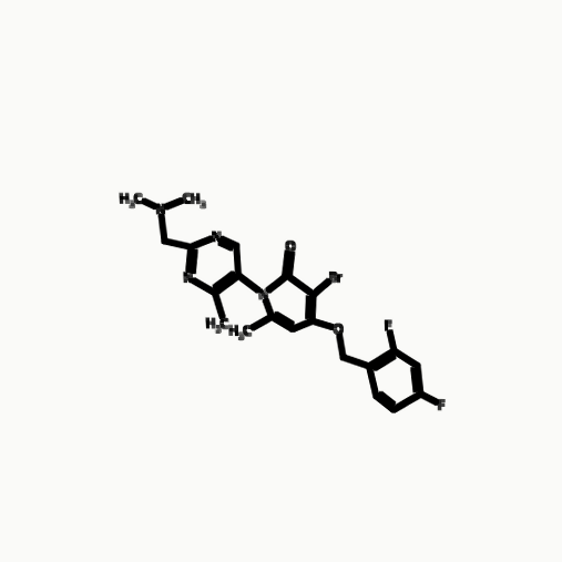 Cc1nc(CN(C)C)ncc1-n1c(C)cc(OCc2ccc(F)cc2F)c(Br)c1=O